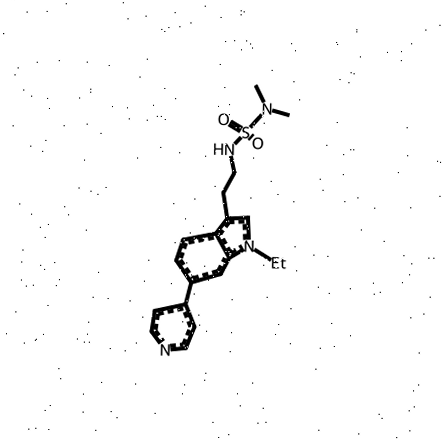 CCn1cc(CCNS(=O)(=O)N(C)C)c2ccc(-c3ccncc3)cc21